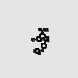 O=C(O)N1Cc2cc(Cl)ccc2-n2c(nnc2C2CCC(Oc3ccncn3)CC2)C1